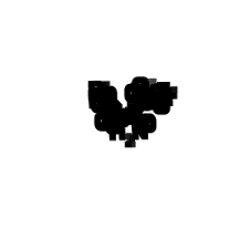 NC(=O)c1cc(Oc2ccc(S(=O)(=O)C(F)(F)F)cc2[N+](=O)[O-])cc(Oc2ccc(S(=O)(=O)C(F)(F)F)cc2[N+](=O)[O-])c1